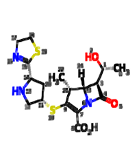 C[C@@H](O)[C@H]1C(=O)N2C(C(=O)O)=C(S[C@@H]3CN[C@H](C4=NCCS4)C3)[C@H](C)[C@H]12